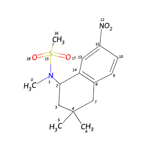 CN(C1CC(C)(C)Cc2ccc([N+](=O)[O-])cc21)S(C)(=O)=O